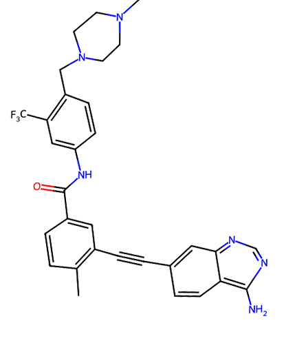 Cc1ccc(C(=O)Nc2ccc(CN3CCN(C)CC3)c(C(F)(F)F)c2)cc1C#Cc1ccc2c(N)ncnc2c1